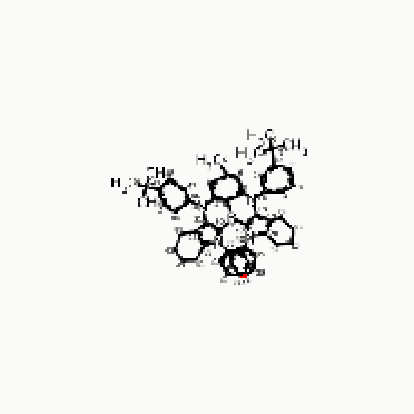 Cc1cc2c3c(c1)N(c1cccc(C(C)(C)C)c1)c1c4c(n(-c5ccccc5)c1B3c1c(c3c(n1-c1ccccc1)CCCC3)N2c1ccc(C(C)(C)C)cc1)CCCC4